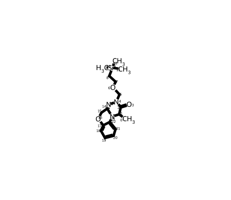 CC1C(=O)N(COCC[Si](C)(C)C)N=C2COc3ccccc3N21